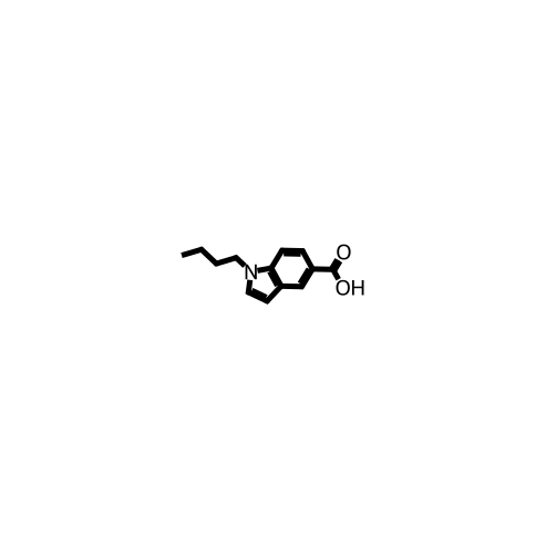 CCCCn1ccc2cc(C(=O)O)ccc21